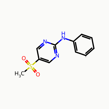 CS(=O)(=O)c1cnc(Nc2c[c]ccc2)nc1